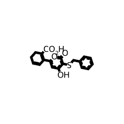 O=C(O)C1=C(c2cc(O)c(SCc3ccccc3)c(=O)o2)C=CCC1